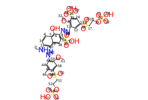 CNc1ccc2c(O)c(/N=N/c3cc(S(=O)(=O)CCOS(=O)(=O)O)cc(S(=O)(=O)O)c3OC)c(S(=O)(=O)O)cc2c1/N=N/c1cc(C)c(S(=O)(=O)CCOS(=O)(=O)O)cc1OC